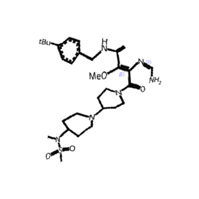 C=C(NCc1ccc(C(C)(C)C)cc1)/C(OC)=C(\N=C/N)C(=O)N1CCC(N2CCC(N(C)S(C)(=O)=O)CC2)CC1